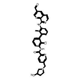 Cc1c(Nc2nccc3cc(C=O)cnc23)cccc1-c1cccc(NC(=O)c2ccc(CN3CCC(O)C3)cn2)c1Cl